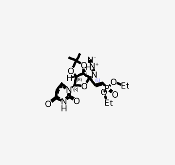 CCOP(=O)(/C=C/[C@@]1(N=[N+]=[N-])O[C@@H](n2ccc(=O)[nH]c2=O)[C@@H]2OC(C)(C)O[C@@H]21)OCC